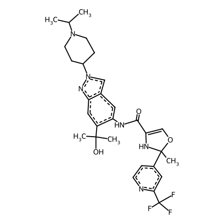 CC(C)N1CCC(n2cc3cc(NC(=O)C4=COC(C)(c5ccnc(C(F)(F)F)c5)N4)c(C(C)(C)O)cc3n2)CC1